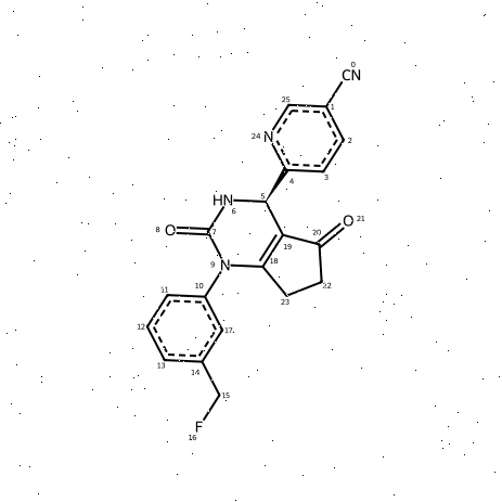 N#Cc1ccc([C@@H]2NC(=O)N(c3cccc(CF)c3)C3=C2C(=O)CC3)nc1